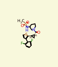 CS(=O)(=O)N[C@H]1CCCN(C(=O)[C@@H]2C[C@H]2c2sccc2-c2c(F)cccc2F)C1